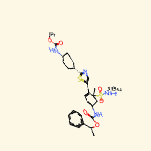 CC(C)OC(=O)N[C@H]1CC[C@H](c2ncc(C3=CC=C(NC(=O)O[C@@H](C)c4ccccc4)C[C@@]3(C)S(=O)(=O)NC(C)(C)C)s2)CC1